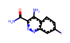 NC(=O)c1nnc2cc(I)ccc2c1N